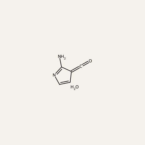 NC1=NC=CC1=C=O.O